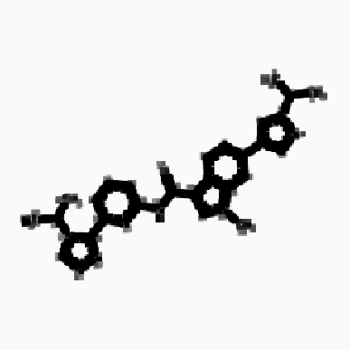 CC(C)n1cc(-c2ccc3c(C(=O)Nc4cccc(-c5nncn5C(C)C)n4)cn(C)c3c2)cn1